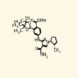 COC(=O)c1ccc(Nc2nn([C@H]3CCC[C@@H]3C)cc2C(N)=O)cc1B1OC(C)(C)C(C)(C)O1